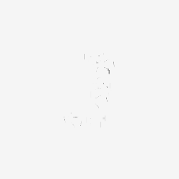 CP(CC(O)C1=CC(Cl)=C(C(=O)NC(Cc2cccc(S(C)(=O)=O)c2)C(=O)O)C(Cl)=CC1)c1ccc2ccoc2c1